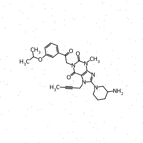 CC#CCn1c(N2CCCC(N)C2)nc2c1c(=O)n(CC(=O)c1cccc(OC(C)C)c1)c(=O)n2C